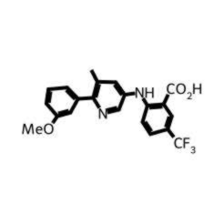 COc1cccc(-c2ncc(Nc3ccc(C(F)(F)F)cc3C(=O)O)cc2C)c1